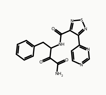 NC(=O)C(=O)C(Cc1ccccc1)NC(=O)c1nsnc1-c1ccncn1